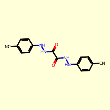 N#Cc1ccc(NNC(=O)C(=O)NNc2ccc(C#N)cc2)cc1